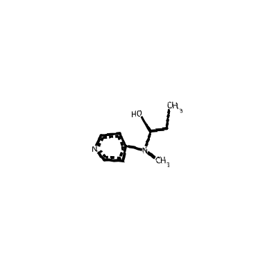 CCC(O)N(C)c1ccncc1